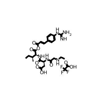 CCNCC(=O)N[C@@H](CC(=O)O)C(=O)N[C@H](C(=O)OC(=O)C=Cc1ccc(NC(=N)N)cc1)[C@@H](C)CC.O=C(O)C(F)(F)F